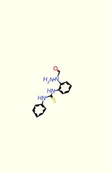 NN(C=O)c1ccccc1NC(=S)Nc1ccccc1